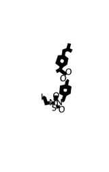 CC(C)Cc1ccc(C(C)C(=O)OCc2ccc(Cn3c(=O)sn(CCI)c3=O)cc2)cc1